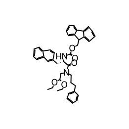 CCOC(CN(CCCc1ccccc1)C(=O)[C@H](Cc1ccc2ccccc2c1)NC(=O)OCC1c2ccccc2-c2ccccc21)OCC